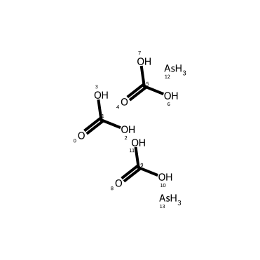 O=C(O)O.O=C(O)O.O=C(O)O.[AsH3].[AsH3]